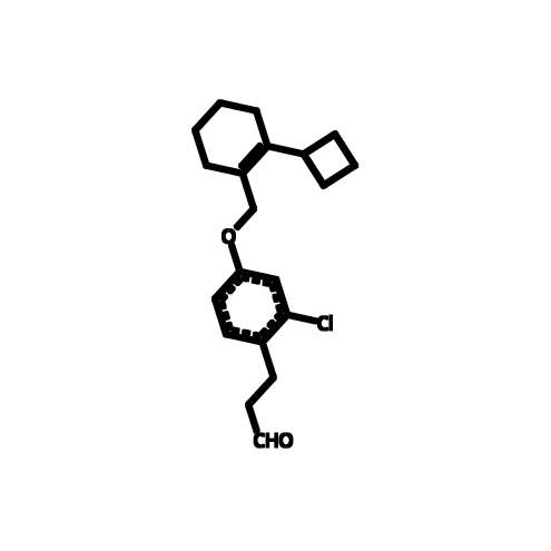 O=CCCc1ccc(OCC2=C(C3CCC3)CCCC2)cc1Cl